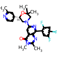 Cc1cc([C@H]2CN(c3cc4c(=O)n(C)c(C)nc4c(-c4cc(F)c(F)cc4F)n3)CC(C)(C)O2)ccn1